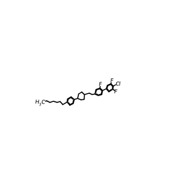 CCCCCCCc1ccc(C2CCC(CCc3ccc(-c4cc(F)c(Cl)c(F)c4)c(F)c3)CC2)cc1